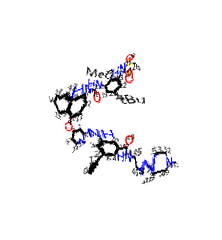 C#Cc1cc(Nc2cc(Oc3ccc(NC(=O)Nc4cc(C(C)(C)C)cc(NS(C)(=O)=O)c4OC)c4ccccc34)ccn2)cc(C(=O)NCCN2CCN(C)CC2)c1